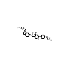 CCOC(=O)Cn1ccc2ccc(OCc3cnc(-c4ccc(OC(F)(F)F)cc4)cc3C(F)(F)F)cc21